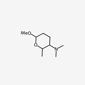 COC1CCC(N(C)C)C(C)O1